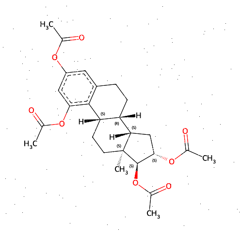 CC(=O)Oc1cc2c(c(OC(C)=O)c1)[C@H]1CC[C@]3(C)[C@H](OC(C)=O)[C@@H](OC(C)=O)C[C@H]3[C@H]1CC2